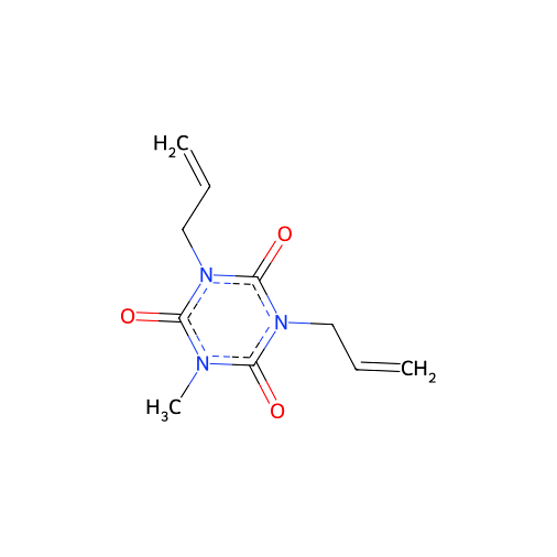 C=CCn1c(=O)n(C)c(=O)n(CC=C)c1=O